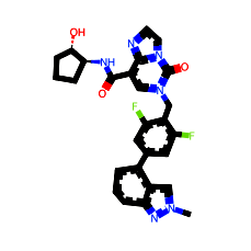 Cn1cc2c(-c3cc(F)c(Cn4cc(C(=O)N[C@H]5CCC[C@@H]5O)c5nccn5c4=O)c(F)c3)cccc2n1